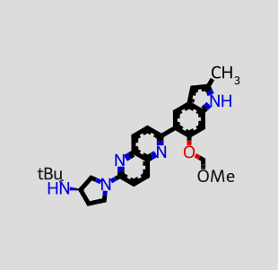 COCOc1cc2[nH]c(C)cc2cc1-c1ccc2nc(N3CC[C@@H](NC(C)(C)C)C3)ccc2n1